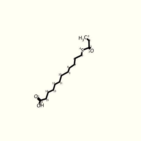 CCC(=O)SCCCCCCCCCCCC(=O)O